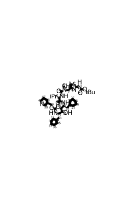 CC(C)[C@H](NC(=O)N(C)Cc1csc(NC(=O)OC(C)(C)C)n1)C(=O)N[C@@H](Cc1ccccc1)C[C@H](O)[C@H](Cc1ccccc1)NC(=O)OCc1cccnc1